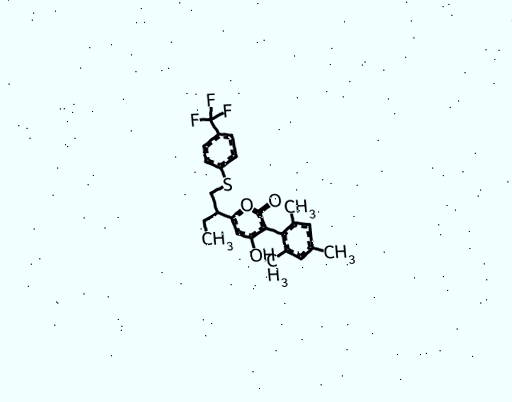 CCC(CSc1ccc(C(F)(F)F)cc1)c1cc(O)c(-c2c(C)cc(C)cc2C)c(=O)o1